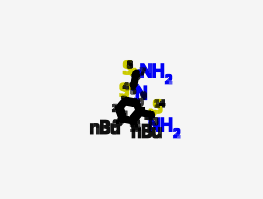 CCCCc1cc2sc(C(N)=S)nc2c(C(N)=S)c1CCCC